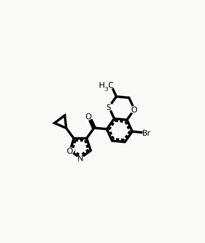 CC1COc2c(Br)ccc(C(=O)c3cnoc3C3CC3)c2S1